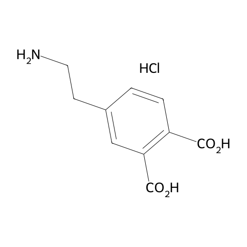 Cl.NCCc1ccc(C(=O)O)c(C(=O)O)c1